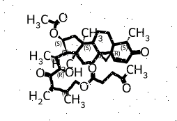 C=C(C(=O)[C@H](O)[C@@H](C)[C@H]1[C@@H](OC(C)=O)C[C@@]2(C)C3CCC4[C@H](C)C(=O)C=C[C@@]45C[C@@]35CC[C@]12C)[C@@H](C)COC(=O)CCC(C)=O